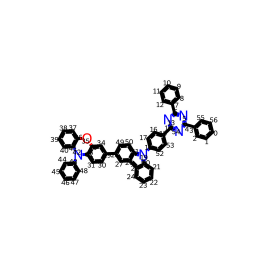 c1ccc(-c2nc(-c3ccccc3)nc(-c3ccc(-n4c5ccccc5c5cc(-c6ccc7c(c6)Oc6ccccc6N7c6ccccc6)ccc54)cc3)n2)cc1